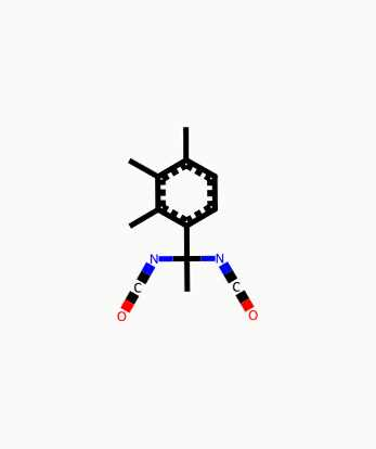 Cc1ccc(C(C)(N=C=O)N=C=O)c(C)c1C